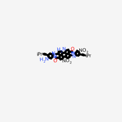 CC(C)C#Cc1cc2nc3c4ccc5c6c(N)cc7c(=O)n8c9cc([N+](=O)[O-])c(C#CC(C)C)cc9nc8c8ccc(c9c([N+](=O)[O-])cc(c(=O)n3c2cc1N)c4c59)c6c78